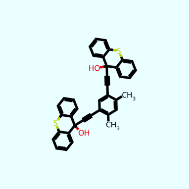 Cc1cc(C)c(C#CC2(O)c3ccccc3Sc3ccccc32)cc1C#CC1(O)c2ccccc2Sc2ccccc21